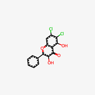 O=c1c(O)c(-c2ccccc2)oc2cc(Cl)c(Cl)c(O)c12